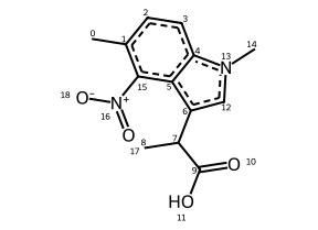 Cc1ccc2c(c(C(C)C(=O)O)cn2C)c1[N+](=O)[O-]